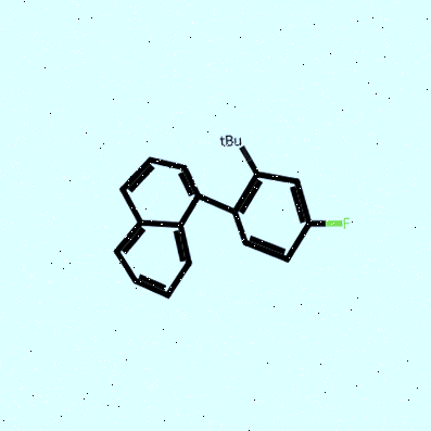 CC(C)(C)c1cc(F)ccc1-c1cccc2ccccc12